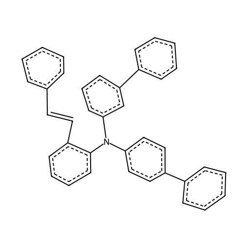 C(=C\c1ccccc1N(c1ccc(-c2ccccc2)cc1)c1cccc(-c2ccccc2)c1)/c1ccccc1